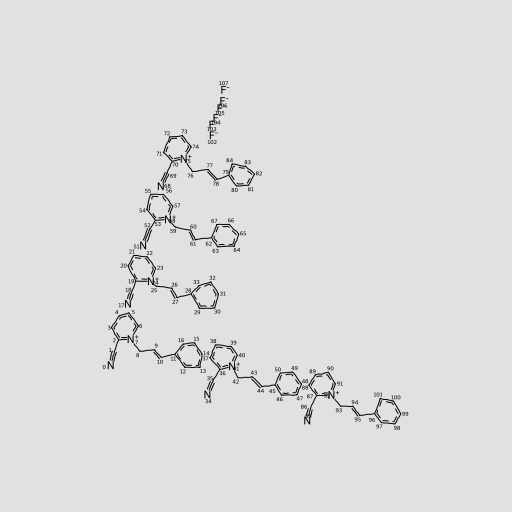 N#Cc1cccc[n+]1CC=Cc1ccccc1.N#Cc1cccc[n+]1CC=Cc1ccccc1.N#Cc1cccc[n+]1CC=Cc1ccccc1.N#Cc1cccc[n+]1CC=Cc1ccccc1.N#Cc1cccc[n+]1CC=Cc1ccccc1.N#Cc1cccc[n+]1CC=Cc1ccccc1.[F-].[F-].[F-].[F-].[F-].[F-]